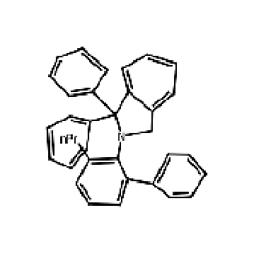 CCCc1cccc(-c2ccccc2)c1N1Cc2ccccc2C1(c1ccccc1)c1ccccc1